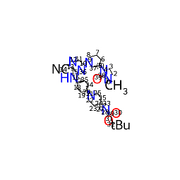 CN1CCN([C@@H]2CCCN(c3cnc(C#N)c(Nc4ccc(N5CCC6(CC5)CN(C(=O)OC(C)(C)C)C6)cc4)n3)C2)C1=O